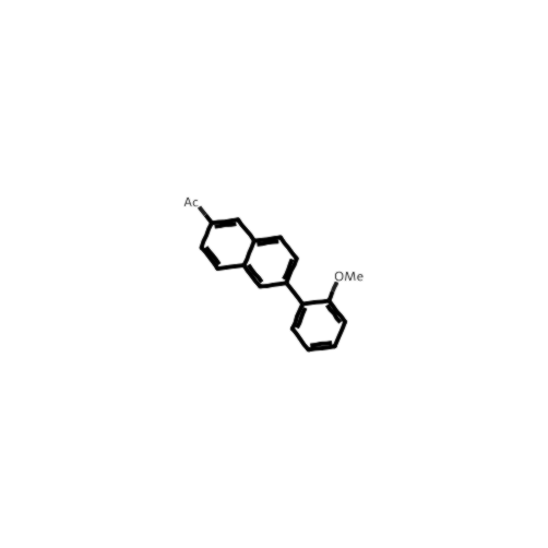 COc1ccccc1-c1ccc2cc(C(C)=O)ccc2c1